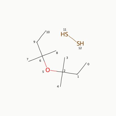 CCC(C)(C)OC(C)(C)CC.SS